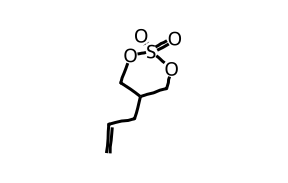 C=CCC1COS(=O)(=O)OC1